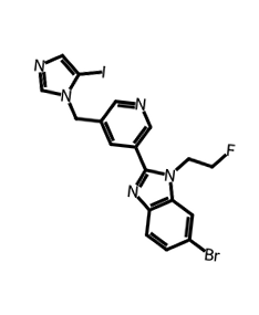 FCCn1c(-c2cncc(Cn3cncc3I)c2)nc2ccc(Br)cc21